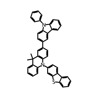 CC1(C)c2ccccc2N(c2ccc3c(c2)sc2ccccc23)c2ccc(-c3ccc4c(c3)c3ccccc3n4-c3ccccc3)cc21